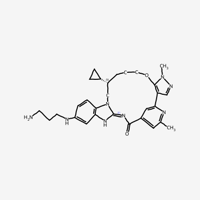 Cc1cc2cc(n1)-c1cnn(C)c1OCCC[C@@H](C1CC1)CN1/C(=N/C2=O)Nc2cc(NCCCN)ccc21